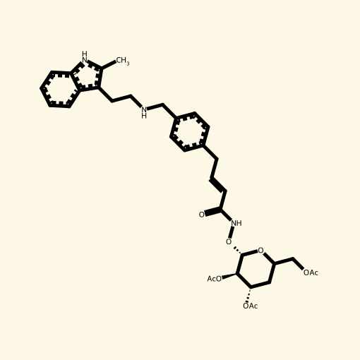 CC(=O)OCC1C[C@H](OC(C)=O)[C@@H](OC(C)=O)[C@H](ONC(=O)/C=C/Cc2ccc(CNCCc3c(C)[nH]c4ccccc34)cc2)O1